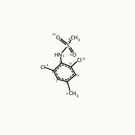 Cc1cc(Cl)c(NS(C)(=O)=O)c(Cl)c1